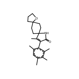 CC1=C(c2c(C)cc(C)c(C)c2C)C(=O)NC12CCC1(CCCO1)CC2